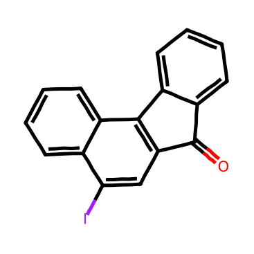 O=C1c2ccccc2-c2c1cc(I)c1ccccc21